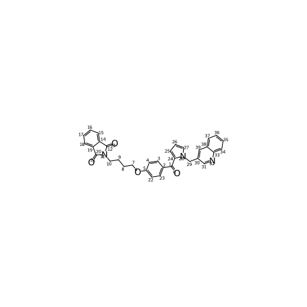 O=C(c1ccc(OCCCCN2C(=O)c3ccccc3C2=O)cc1)c1cccn1Cc1cnc2ccccc2c1